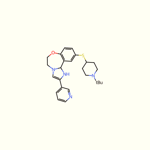 CC(C)(C)N1CCC(Sc2ccc3c(c2)C2NC(c4cccnc4)=CN2CCO3)CC1